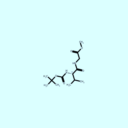 COC(=O)CNC(=O)[C@@H](NC(=O)OC(C)(C)C)C(C)C